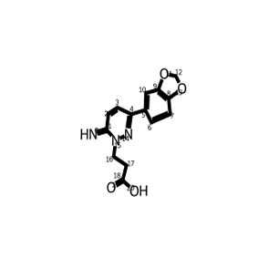 N=c1ccc(-c2ccc3c(c2)OCO3)nn1CCC(=O)O